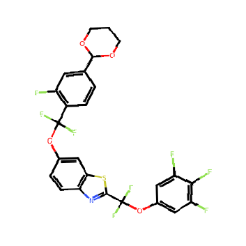 Fc1cc(C2OCCCO2)ccc1C(F)(F)Oc1ccc2nc(C(F)(F)Oc3cc(F)c(F)c(F)c3)sc2c1